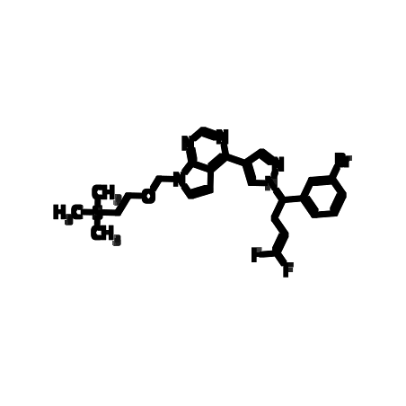 CS(C)(C)CCOCn1ccc2c(-c3cnn(C(CC=C(F)F)c4cccc(Br)c4)c3)ncnc21